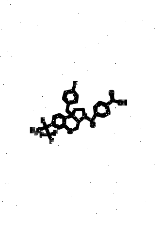 CC(F)(c1ccc2c(c1)OCC1N(C(=O)c3ccc(C(=O)O)cc3)CCC21Cc1ccc(F)cc1)C(F)(F)F